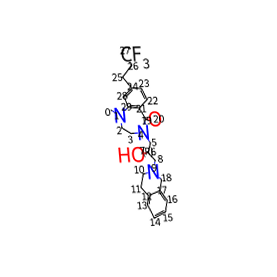 CN1CCN(C[C@H](O)CN2CCc3ccccc3C2)C(=O)c2ccc(CCC(F)(F)F)cc21